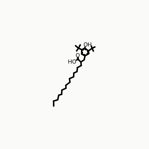 CCCCCCCCCCCCCCCC(Cc1cc(C(C)(C)C)c(O)c(C(C)(C)C)c1)C(=O)O